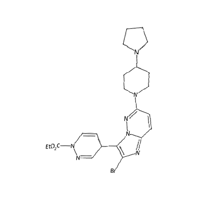 CCOC(=O)N1C=CC(c2c(Br)nc3ccc(N4CCC(N5CCCC5)CC4)nn23)C=N1